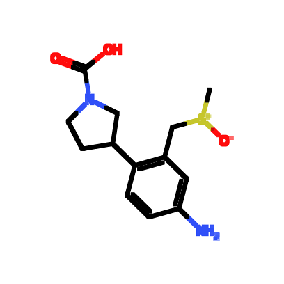 C[S+]([O-])Cc1cc(N)ccc1C1CCN(C(=O)O)C1